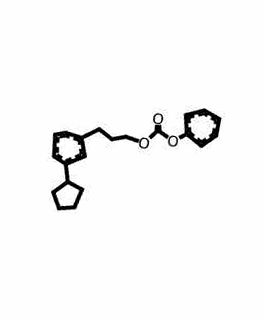 O=C(OCCCc1cccc(C2CCCC2)c1)Oc1ccccc1